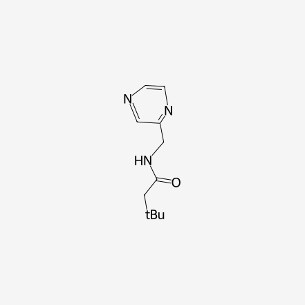 CC(C)(C)CC(=O)NCc1cnccn1